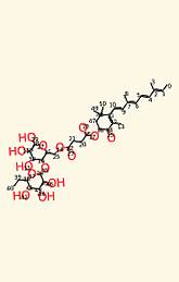 C/C=C(C)/C=C/C=C(C)/C=C/C1=C(C)C(=O)C(OC(=O)CCC(=O)OCC2OC(O)C(O)C(O)C2OC2OC(CC)C(O)C(O)C2O)CC1(C)C